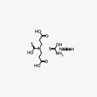 NC(O)=S.O=C(O)CCN(CCC(=O)O)C(O)=S.[NaH].[NaH].[NaH]